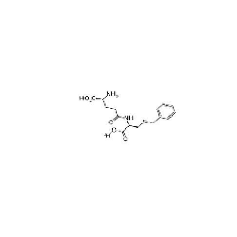 [2H]OC(=O)[C@H](CSCc1ccccc1)NC(=O)CC[C@H](N)C(=O)O